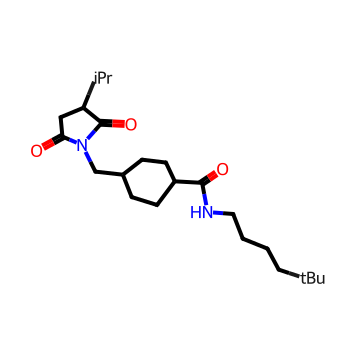 CC(C)C1CC(=O)N(CC2CCC(C(=O)NCCCCC(C)(C)C)CC2)C1=O